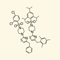 Cc1cc(C)c(Cc2csc(N3CCN(S(=O)(=O)c4c(C(C)C)cc(C(C)C)cc4C(C)C)CC3)n2)c(C)c1.O=S(=O)(c1ccc(Cl)cc1Cl)N1CCN(c2nc(Cc3ccccc3)cs2)CC1